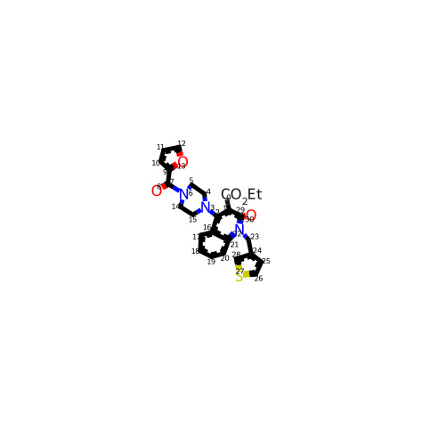 CCOC(=O)c1c(N2CCN(C(=O)c3ccco3)CC2)c2ccccc2n(Cc2ccsc2)c1=O